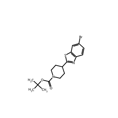 CC(C)(C)OC(=O)N1CCC(c2nc3ccc(Br)cc3s2)CC1